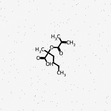 C=C(C)C(=O)OC(C)(CCCC)C(=O)O